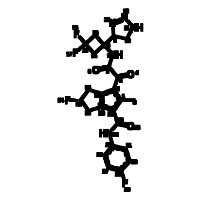 Cc1c(C(=O)C(=O)NC2(C3CNN=N3)CC(F)(F)C2)c2n(c1C(=O)Nc1ccc(F)cc1)C[C@H](F)C2